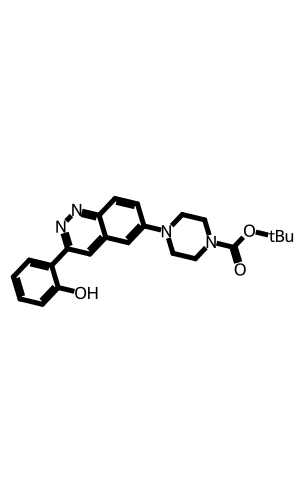 CC(C)(C)OC(=O)N1CCN(c2ccc3nnc(-c4ccccc4O)cc3c2)CC1